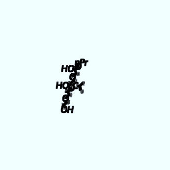 C=C(C)C(=O)O.CCCOC(O)COCCOCCOCCO